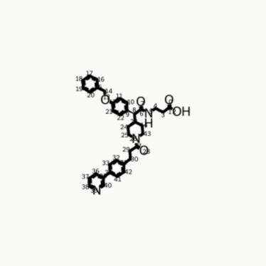 O=C(O)CCNC(=O)[C@H](c1ccc(OCc2ccccc2)cc1)C1CCN(C(=O)CCc2ccc(-c3cccnc3)cc2)CC1